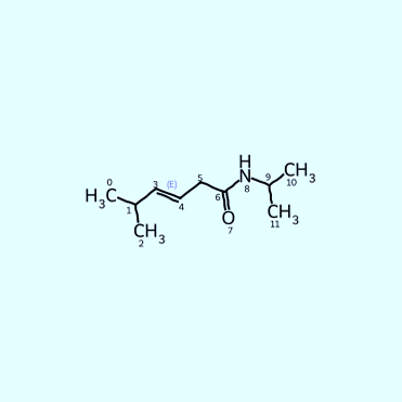 CC(C)/C=C/CC(=O)NC(C)C